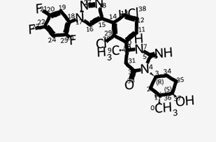 C[C@@H]1C[C@H](N2C(=N)N[C@](C)(c3cccc(-c4cn(-c5cc(F)c(F)cc5F)nn4)c3Cl)CC2=O)CC[C@@H]1O.Cl